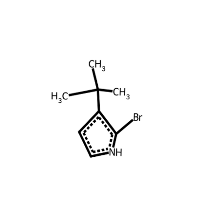 CC(C)(C)c1cc[nH]c1Br